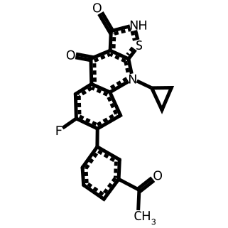 CC(=O)c1cccc(-c2cc3c(cc2F)c(=O)c2c(=O)[nH]sc2n3C2CC2)c1